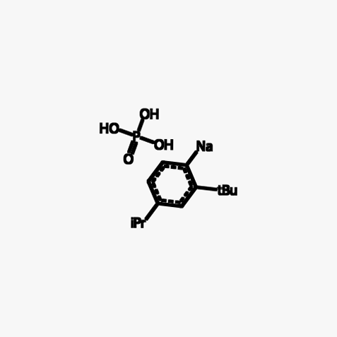 CC(C)c1cc[c]([Na])c(C(C)(C)C)c1.O=P(O)(O)O